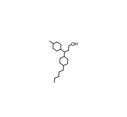 CCCCCC1CCC(C(CCO)C2CCC(C)CC2)CC1